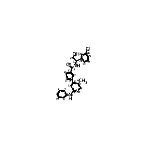 Cc1cnc(Nc2ccccc2)cc1-n1ccc(C(=O)NC(CO)c2cccc(Cl)c2)c1